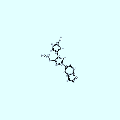 O=C(O)Cc1nc(-c2cnc3occc3c2)oc1-c1ccc(Cl)s1